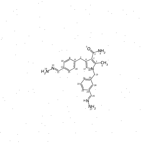 Cc1c(C(N)=O)c(Cc2ccc(C=NN)cc2)cn1Cc1cccc(C=NN)c1